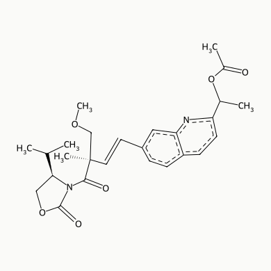 COC[C@@](C)(/C=C/c1ccc2ccc(C(C)OC(C)=O)nc2c1)C(=O)N1C(=O)OC[C@H]1C(C)C